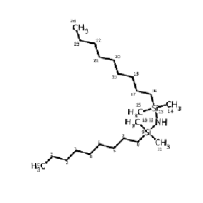 CCCCCCCCC[Si](C)(C)N[Si](C)(C)CCCCCCCCC